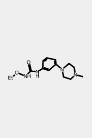 CCONC(=O)Nc1cccc(N2CCN(C)CC2)c1